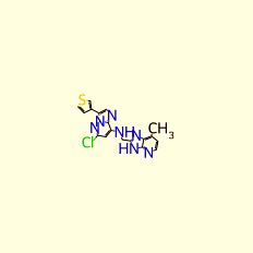 Cc1ccnc2[nH]c(CNc3cc(Cl)nn4c(-c5ccsc5)cnc34)nc12